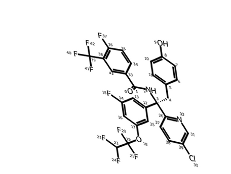 O=C(N[C@](Cc1ccc(O)cc1)(c1cc(F)cc(OC(F)(F)C(F)F)c1)c1ccc(Cl)cn1)c1ccc(F)c(C(F)(F)F)c1